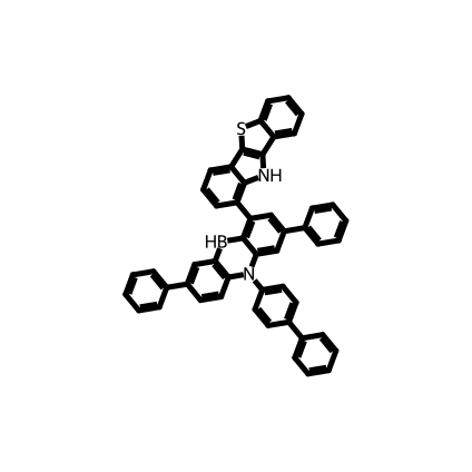 B1c2cc(-c3ccccc3)ccc2N(c2ccc(-c3ccccc3)cc2)c2cc(-c3ccccc3)cc(-c3cccc4c3[nH]c3c5ccccc5sc43)c21